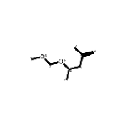 C=C(C)CC(C)OCOC